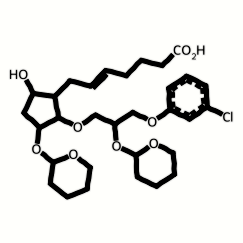 O=C(O)CCCC=CCC1C(O)CC(OC2CCCCO2)C1OCC(COc1cccc(Cl)c1)OC1CCCCO1